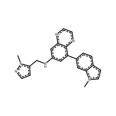 Cn1nccc1CNc1cc(-c2ccc3ccn(C)c3c2)c2nccnc2c1